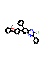 Clc1nc2cc(-c3ccccc3)c(-c3ccc4c(c3)oc3ccccc34)cc2nc1-c1ccccc1